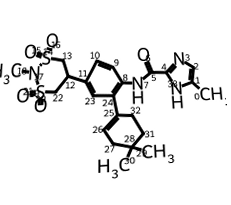 Cc1cnc(C(=O)Nc2ccc(C3CS(=O)(=O)N(C)S(=O)(=O)C3)cc2C2=CCC(C)(C)CC2)[nH]1